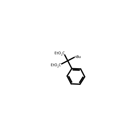 CCCCC(C(=O)OCC)(C(=O)OCC)c1ccccc1